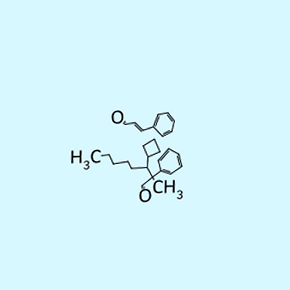 CCCCCC(C1CCC1)C(C)(C=O)c1ccccc1.O=CC=Cc1ccccc1